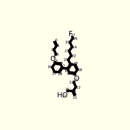 C=CCCOC1=CC(c2cc(OCCC(=C)CO)ccc2CCCCCCF)=CCC1